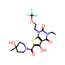 CCn1c(=O)c2c(O)c(C(=O)N3CCC(C)(O)CC3)sc2n(CCOC(F)(F)F)c1=O